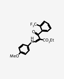 CCOC(=O)C(=CNc1ccc(OC)cc1)C(=O)c1ccccc1C(F)(F)F